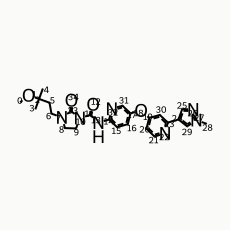 COC(C)(C)CCN1CCN(C(=O)Nc2ccc(Oc3ccnc(-c4cnn(C)c4)c3)cn2)C1=O